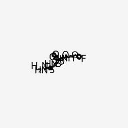 N=C(N)c1csc(CNC(=O)C2CC3(CN2C(=O)CNC(=O)CCCOc2ccc(F)cc2)OCCO3)c1